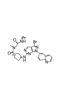 CC(C)NC(=O)CN(C)C(=O)[C@@H]1CC[C@@H](Nc2ncc3c(Br)nn(-c4ccc5ncccc5c4)c3n2)C1